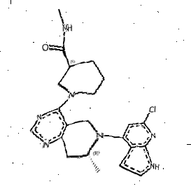 CNC(=O)[C@H]1CCCN(c2ncnc3c2CN(c2cc(Cl)nc4[nH]ccc24)[C@H](C)C3)C1